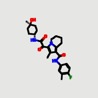 Cc1cc(NC(=O)c2c(C)c(C(=O)C(=O)N[C@H]3CC[C@](C)(O)CC3)n3c2CCCC3)ccc1F